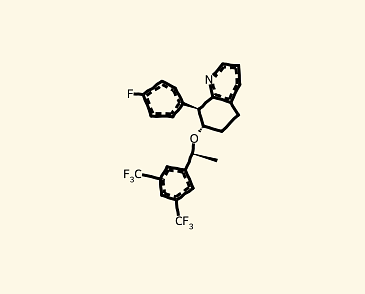 C[C@H](O[C@H]1CCc2cccnc2[C@@H]1c1ccc(F)cc1)c1cc(C(F)(F)F)cc(C(F)(F)F)c1